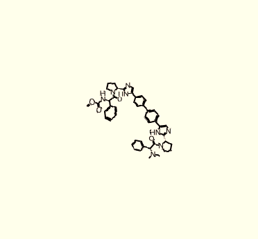 COC(=O)N[C@@H](C(=O)N1CCC[C@H]1c1ncc(-c2ccc(-c3ccc(-c4cnc([C@@H]5CCCN5C(=O)[C@@H](c5ccccc5)N(C)C)[nH]4)cc3)cc2)[nH]1)c1ccccc1